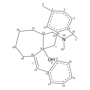 Cc1ccc(C)c(CC2(O)/C(=C\c3ccccc3)CCCCC2CN(C)C)c1